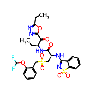 CCc1nnc(C(=O)[C@H](CC)NC(=O)[C@H](CS(=O)(=O)Cc2ccccc2OC(F)F)NC2=NS(=O)(=O)c3ccccc32)o1